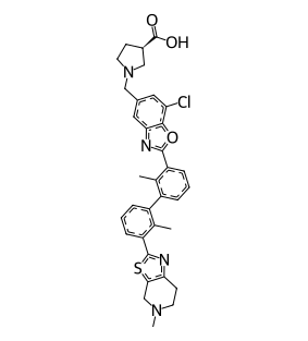 Cc1c(-c2nc3cc(CN4CC[C@@H](C(=O)O)C4)cc(Cl)c3o2)cccc1-c1cccc(-c2nc3c(s2)CN(C)CC3)c1C